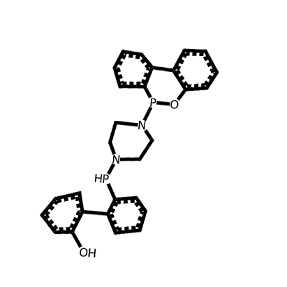 Oc1ccccc1-c1ccccc1PN1CCN(P2Oc3ccccc3-c3ccccc32)CC1